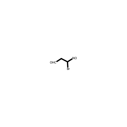 O=CCC(Br)N=O